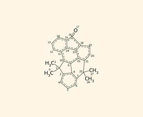 CC1(C)c2cccc3c2-c2c1c1cccc4c(=O)c5ccc(c2c5c14)C3(C)C